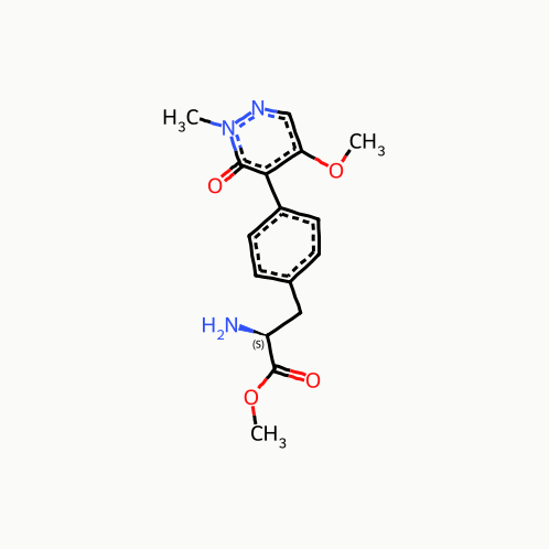 COC(=O)[C@@H](N)Cc1ccc(-c2c(OC)cnn(C)c2=O)cc1